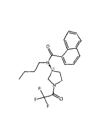 CCCCN(C(=O)c1cccc2ccccc12)[C@H]1CCN(C(=O)C(F)(F)F)C1